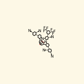 N#Cc1ccc(-c2ccc3c(c2)c2ccccc2n3-c2cc(C#N)c(-c3cc(C(F)(F)F)cc(C(F)(F)F)c3)cc2-n2c3ccccc3c3cc(-c4ccc(C#N)cc4C#N)ccc32)c(C#N)c1